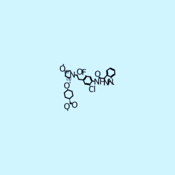 COC(=O)[C@H]1CC[C@H](OC[C@@H]2C[C@H](OC)CN2C(=O)Cc2cc(Cl)c(NC(=O)c3nn(C)c4ccccc34)cc2F)CC1